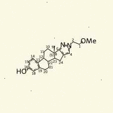 COCCn1cc2c(n1)[C@@]1(C)CCC3c4ccc(O)cc4CCC3C1C2